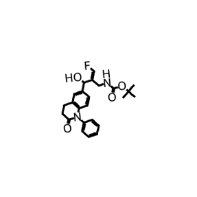 CC(C)(C)OC(=O)NC/C(=C/F)C(O)c1ccc2c(c1)CCC(=O)N2c1ccccc1